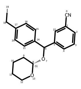 N#Cc1cccc(C(O[C@H]2CCCCO2)c2ccc(CI)cc2)c1